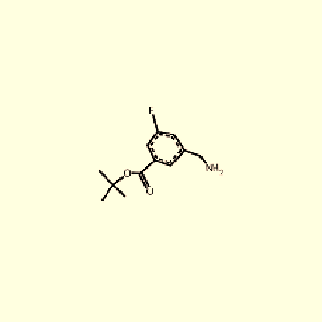 CC(C)(C)OC(=O)c1cc(F)cc(CN)c1